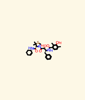 Cc1ccc(C(=O)N[C@@H](Cc2ccccc2)[C@H](O)C(=O)N2CSC(C)(C)[C@H]2C(=O)N[C@@H]2C=CCCC2)c(C)c1O